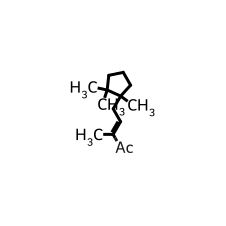 CC(=O)C(C)=CCC1(C)CCCC1(C)C